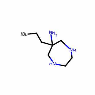 CC(C)(C)CCC1(N)CNCCNC1